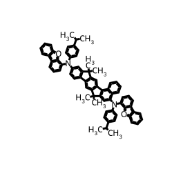 CC(C)c1ccc(N(c2ccc3c(c2)C(C)(C)c2cc4c(cc2-3)C(C)(C)c2cc(N(c3ccc(C(C)C)cc3)c3cccc5c3oc3ccccc35)c3ccccc3c2-4)c2cccc3c2oc2ccccc23)cc1